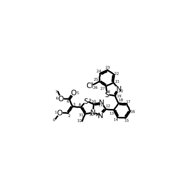 CO/C=C(\C(=O)OC)c1sc2nc(-c3ccccc3-c3nc4cccc(Cl)c4s3)nn2c1C